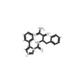 NC(=O)C(=O)C(Cc1ccccc1)NC(=O)n1cncc1-c1ccccc1